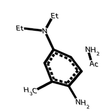 CC(N)=O.CCN(CC)c1ccc(N)c(C)c1